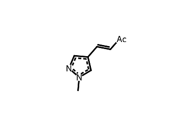 CC(=O)C=Cc1cnn(C)c1